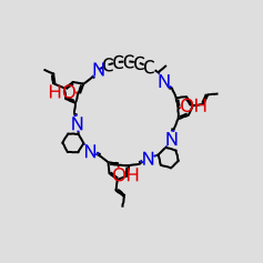 C/C=C/c1cc2c(O)c(c1)/C=N/C1CCCCC1/N=C/c1cc(/C=C/C)cc(c1O)/C=N/C1CCCCC1/N=C/c1cc(/C=C/C)cc(c1O)/C=N/C(C)CCCCC/N=C/2